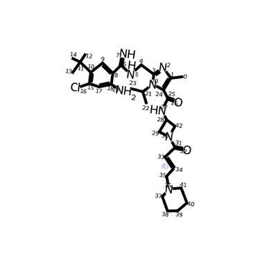 Cc1nc(CNC(=N)c2cc(C(C)(C)C)c(Cl)cc2N)n(C(C)C)c1C(=O)NC1CN(C(=O)/C=C/CN2CCCCC2)C1